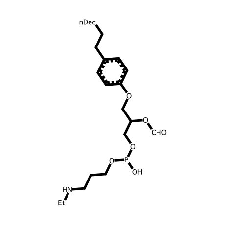 CCCCCCCCCCCCc1ccc(OCC(COP(O)OCCCNCC)OC=O)cc1